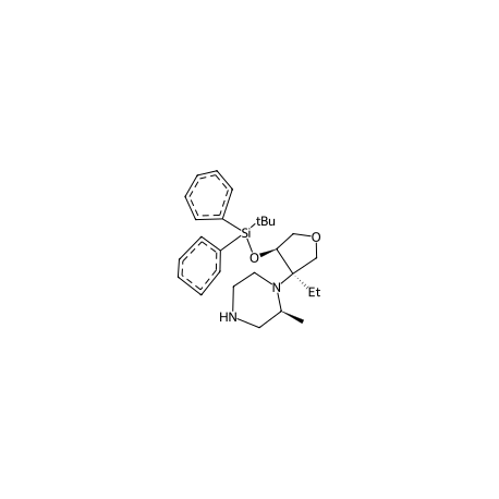 CC[C@@]1(N2CCNC[C@@H]2C)COC[C@@H]1O[Si](c1ccccc1)(c1ccccc1)C(C)(C)C